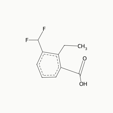 CCc1c(C(=O)O)cccc1C(F)F